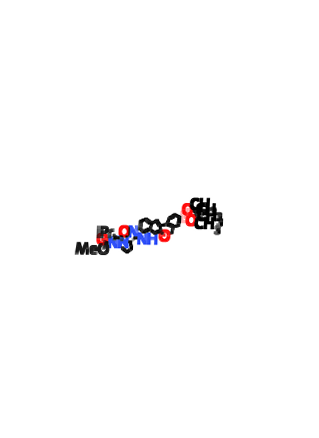 COC(=O)N[C@H](C(=O)N1CCC[C@H]1c1nc2ccc3cc4c(cc3c2[nH]1)OCc1cc(B2OC(C)(C)C(C)(C)O2)ccc1-4)C(C)C